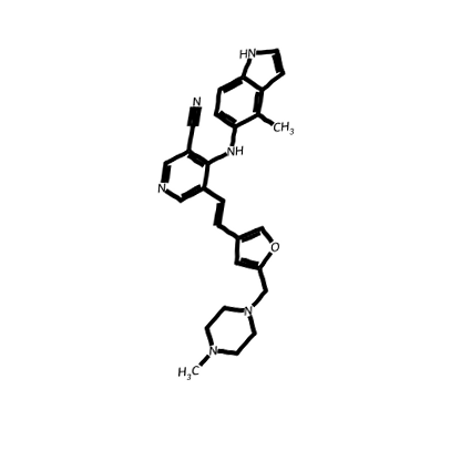 Cc1c(Nc2c(C#N)cncc2C=Cc2coc(CN3CCN(C)CC3)c2)ccc2[nH]ccc12